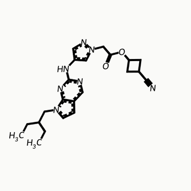 CCC(CC)Cn1ccc2cnc(Nc3cnn(CC(=O)OC4CC(C#N)C4)c3)nc21